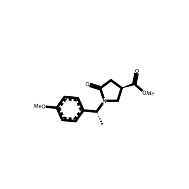 COC(=O)[C@@H]1CC(=O)N([C@H](C)c2ccc(OC)cc2)C1